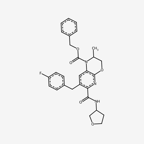 CC1COc2nc(C(=O)NC3CCOC3)c(Cc3ccc(F)cc3)cc2N1C(=O)OCc1ccccc1